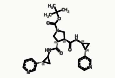 CC(C)(C)OC(=O)N1C[C@@H](C(=O)NC2C[C@@H]2c2cccnc2)[C@H](C(=O)N[C@H]2C[C@@H]2c2cccnc2)C1